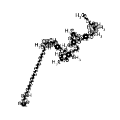 COCCOCCC(=O)N[C@H](C(=O)NC(C)C(=O)Nc1ccc(COC(=O)N2c3cc(OCCCCCOc4cc5c(cc4OC)C(=O)N4C=C(C)C[C@H]4[C@H](O)N5C(=O)OCc4ccc(NC(=O)[C@H](C)NC(=O)[C@@H](NC(=O)CCOCCOCCOCCOCCOCCOCCOCCOCCNC(=O)CCN5C(=O)C=CC5=O)C(C)C)cc4)c(OC)cc3C(=O)N3C=C(C)CC3[C@@H]2O)cc1)C(C)C